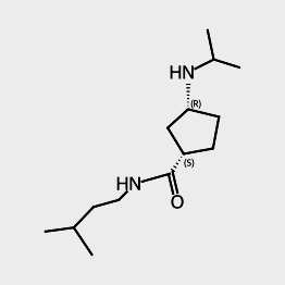 CC(C)CCNC(=O)[C@H]1CC[C@@H](NC(C)C)C1